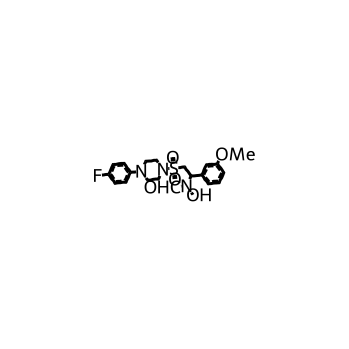 COc1cccc(C(CS(=O)(=O)N2CCN(c3ccc(F)cc3)CC2)N(O)C=O)c1